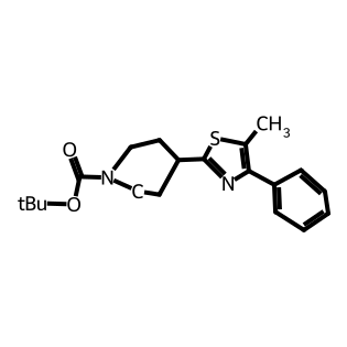 Cc1sc(C2CCN(C(=O)OC(C)(C)C)CC2)nc1-c1ccccc1